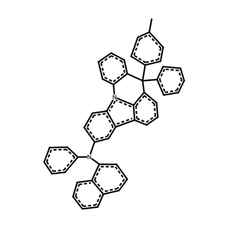 Cc1ccc(C2(c3ccccc3)c3ccccc3-n3c4ccc(N(c5ccccc5)c5cccc6ccccc56)cc4c4cccc2c43)cc1